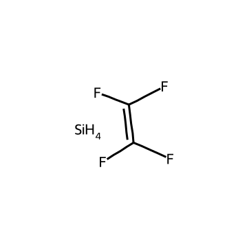 FC(F)=C(F)F.[SiH4]